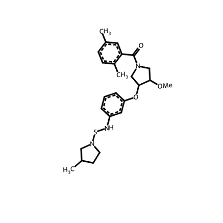 COC1CN(C(=O)c2cc(C)ccc2C)CC1Oc1cccc(NSN2CCC(C)C2)c1